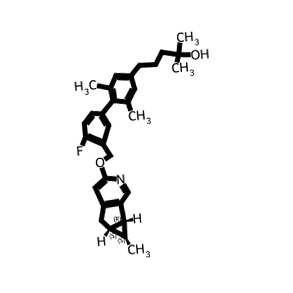 Cc1cc(CCCC(C)(C)O)cc(C)c1-c1ccc(F)c(COc2cc3c(cn2)[C@@H]2[C@@H](C)[C@@H]2C3)c1